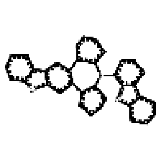 c1ccc2c(c1)B(c1cccc3c1oc1ccccc13)c1ccccc1-c1cc3c(cc1-2)oc1ccccc13